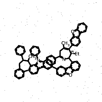 CC[C@@H]1C(c2ccc3c(c2)oc2ccccc23)=C(C)CC(c2ccccc2)=NC1c1cccc2oc3ccc(-c4ccc5c(c4)c4ccc6c(c4n5-c4ccccc4)C(C)C(c4ccccc4)Cc4ccccc4-6)cc3c12